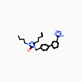 C=CCCc1nn(CCCC)c(=O)n1Cc1ccc(-c2cccc(-c3nnn[nH]3)c2)cc1